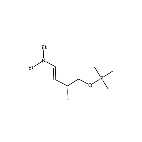 CCN(/C=C/[C@@H](C)CO[Si](C)(C)C)CC